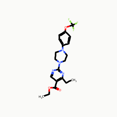 CCOC(=O)c1cnc(N2CCN(c3ccc(OC(F)(F)F)cc3)CC2)nc1CC